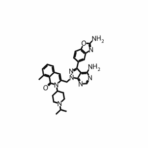 Cc1cccc2cc(Cn3nc(-c4ccc5oc(N)nc5c4)c4c(N)ncnc43)n(C3CCN(C(C)C)CC3)c(=O)c12